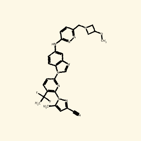 COC1CN(Cc2ccc(Nc3ccc4c(c3)ncn4-c3ccc(C(C)(F)F)c(-n4nc(C#N)cc4C)n3)nn2)C1